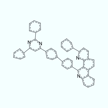 c1ccc(-c2cc(-c3ccc(-c4ccc(-c5nc6ccccc6c6ccc7ccc(-c8ccccc8)nc7c56)cc4)cc3)nc(-c3ccccc3)n2)cc1